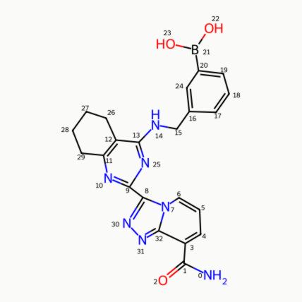 NC(=O)c1cccn2c(-c3nc4c(c(NCc5cccc(B(O)O)c5)n3)CCCC4)nnc12